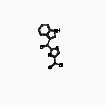 O=C(Cl)c1csc(C(=O)c2c[nH]c3ccccc23)n1